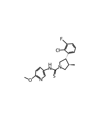 COc1ccc(NC(=S)N2C[C@H](c3cccc(F)c3Cl)[C@@H](C)C2)cn1